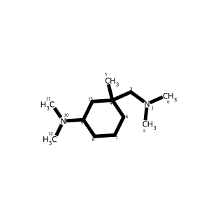 CN(C)CC1(C)CCCC(N(C)C)C1